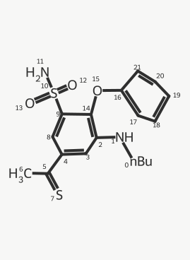 CCCCNc1cc(C(C)=S)cc(S(N)(=O)=O)c1Oc1ccccc1